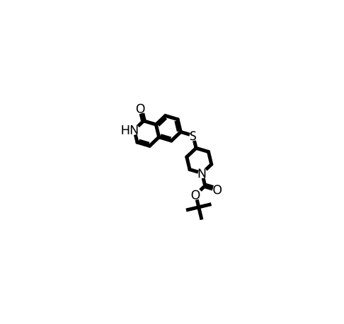 CC(C)(C)OC(=O)N1CCC(Sc2ccc3c(=O)[nH]ccc3c2)CC1